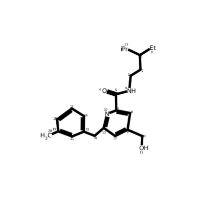 CCC(CCNC(=O)c1cc(CO)cc(Cc2cccc(C)c2)n1)C(C)C